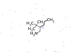 C=C/C=C(/CN)C(C)(C)C